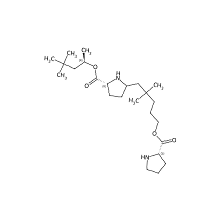 C[C@H](CC(C)(C)C)OC(=O)[C@H]1CCC(CC(C)(C)CCCOC(=O)[C@@H]2CCCN2)N1